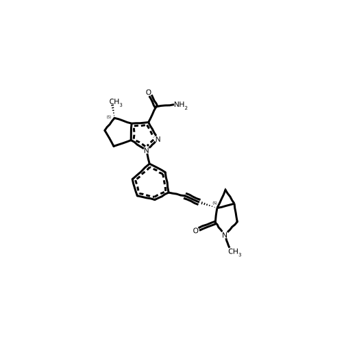 C[C@H]1CCc2c1c(C(N)=O)nn2-c1cccc(C#C[C@]23CC2CN(C)C3=O)c1